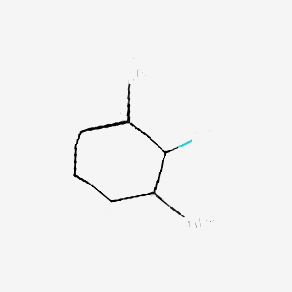 CCCC1CCCC(CCC)C1F